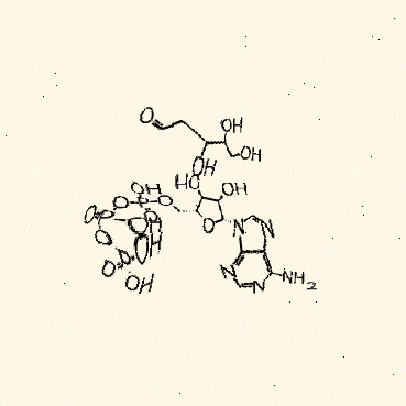 Nc1ncnc2c1ncn2[C@@H]1O[C@H](COP(=O)(O)OP(=O)(O)OP(=O)(O)O)[C@@H](O)[C@H]1O.O=CCC(O)C(O)CO